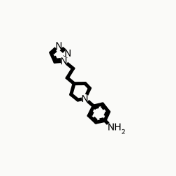 Nc1ccc(N2CCC(CCn3ccnn3)CC2)cc1